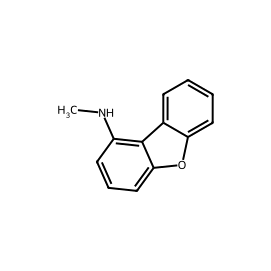 CNc1cccc2oc3ccccc3c12